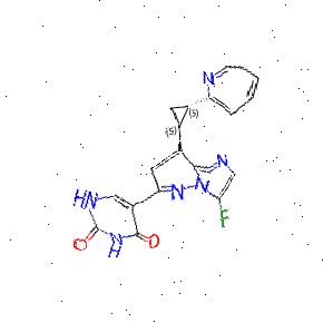 O=c1[nH]cc(-c2cc([C@H]3C[C@@H]3c3ccccn3)c3ncc(F)n3n2)c(=O)[nH]1